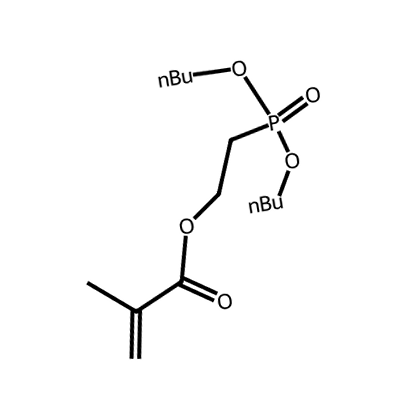 C=C(C)C(=O)OCCP(=O)(OCCCC)OCCCC